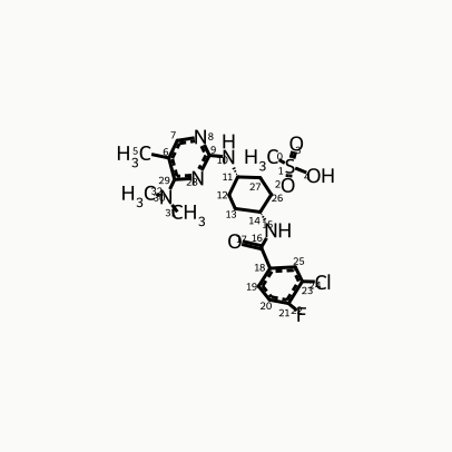 CS(=O)(=O)O.Cc1cnc(N[C@H]2CC[C@@H](NC(=O)c3ccc(F)c(Cl)c3)CC2)nc1N(C)C